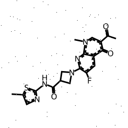 CC(=O)c1cn(C)c2nc(N3CC(C(=O)Nc4ncc(C)s4)C3)c(F)cc2c1=O